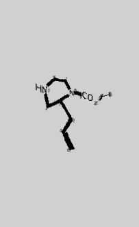 C=CCC1CNCCN1C(=O)O